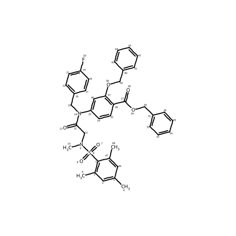 Cc1cc(C)c(S(=O)(=O)N(C)CC(=O)N(Cc2ccc(F)cc2)c2ccc(C(=O)OCc3ccccc3)c(OCc3ccccc3)c2)c(C)c1